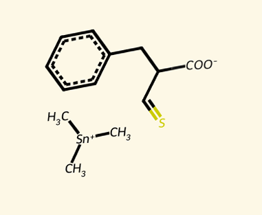 O=C([O-])C(C=S)Cc1ccccc1.[CH3][Sn+]([CH3])[CH3]